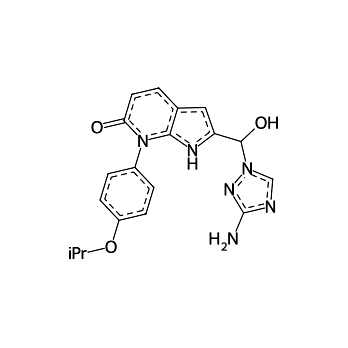 CC(C)Oc1ccc(-n2c(=O)ccc3cc(C(O)n4cnc(N)n4)[nH]c32)cc1